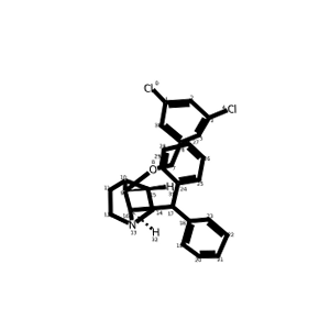 Clc1cc(Cl)cc(CO[C@H]2C3CCN(CC3)[C@@H]2C(c2ccccc2)c2ccccc2)c1